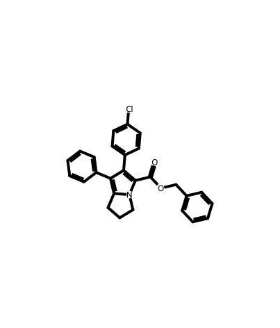 O=C(OCc1ccccc1)c1c(-c2ccc(Cl)cc2)c(-c2ccccc2)c2n1CCC2